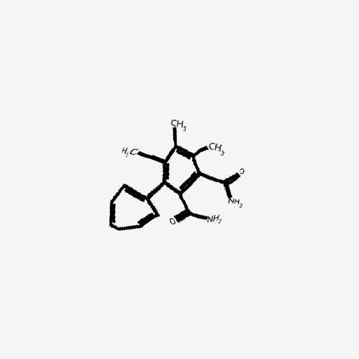 Cc1c(C)c(C(N)=O)c(C(N)=O)c(-c2ccccc2)c1C